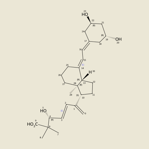 C=C(/C=C/[C@@H](O)C(C)(C)C(=O)O)[C@H]1CC[C@H]2/C(=C/C=C3C[C@@H](O)C[C@H](O)C3)CCC[C@]12C